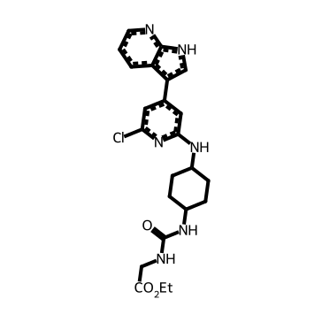 CCOC(=O)CNC(=O)NC1CCC(Nc2cc(-c3c[nH]c4ncccc34)cc(Cl)n2)CC1